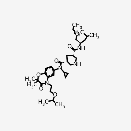 CCOC[C@@H](CC(C)C)NC(=O)[C@@H]1CNC[C@H](C(=O)N(c2ccc3c(c2)N(CCOC(C)C)C(=O)C(C)(C)O3)C2CC2)C1